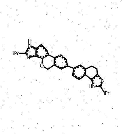 CC(C)c1nc2c([nH]1)-c1ccc(-c3ccc4c(c3)COc3c-4ccc4[nH]c(C(C)C)nc34)cc1CC2